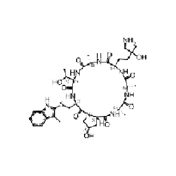 Cc1c(SC[C@H]2NC(=O)[C@@H]([C@H](C)O)NC(=O)[C@H](C)NC(=O)[C@@H](CCC(C)(O)CN)NC(=O)[C@H](C)NC(=O)[C@H](C)NC(=O)[C@@H]3C[C@@H](O)CN3C2=O)[nH]c2ccccc12